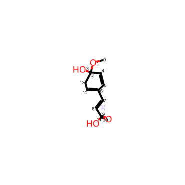 COC1(O)C=CC(/C=C/C(=O)O)=CC1